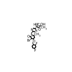 Cc1cc(OCc2ccc(F)cc2F)c(Br)c(=O)n1Cc1cnc(NC(=O)C(C)(C)O)cn1